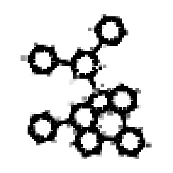 c1ccc(-c2cc(-c3ccccc3)nc(-n3c4cccc5c4c4c6c(cccc6c(-c6ccccc6)cc43)-c3ccccc3-5)n2)cc1